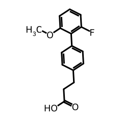 COc1cccc(F)c1-c1ccc(CCC(=O)O)cc1